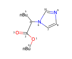 CCCCOC(=O)C(CCCC)n1ccnc1